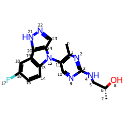 Cc1nc(NC[C@@H](C)O)ncc1-n1c2ccc(F)cc2c2[nH]ncc21